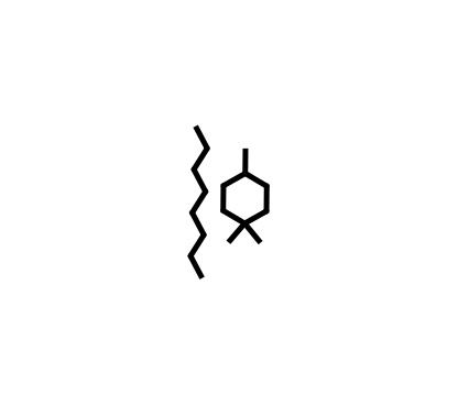 CC1CCC(C)(C)CC1.CCCCCCCC